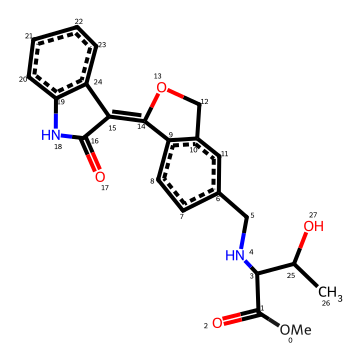 COC(=O)C(NCc1ccc2c(c1)COC2=C1C(=O)Nc2ccccc21)C(C)O